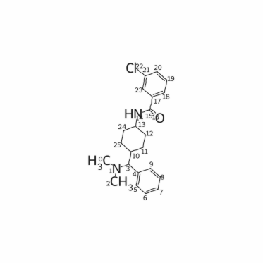 CN(C)C(c1ccccc1)C1CCC(NC(=O)c2cccc(Cl)c2)CC1